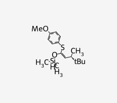 COc1ccc(SC(=C[C@@H](C)C(C)(C)C)O[SiH](C)C)cc1